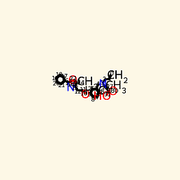 C=CCN(Cc1cccc(OCCc2nc(-c3ccccc3)oc2C)c1)C(C)(C)C(=O)O